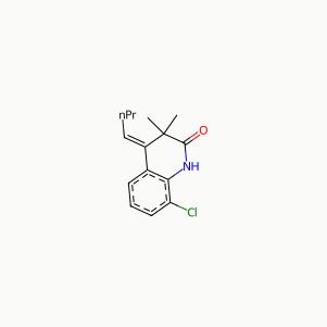 CCCC=C1c2cccc(Cl)c2NC(=O)C1(C)C